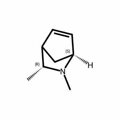 C[C@@H]1C2C=C[C@H](C2)N1C